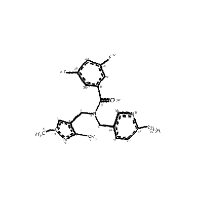 Cc1nn(C)cc1CN(Cc1ccc(C(=O)O)nc1)C(=O)c1cc(F)cc(F)c1